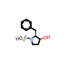 O=C(O)N1CC[C@H](O)[C@@H]1Cc1ccccc1